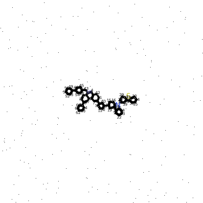 C1=CC(/C(=C\C2=CC=C(c3cccc(-c4ccc5c(c4)c4ccccc4n5-c4ccc5sc6ccccc6c5c4)c3)CC2)Cc2ccc(-c3ccccc3)cc2)CC=C1c1ccccc1